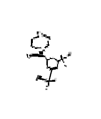 O=C(C1CC(C(F)(F)F)CC(C(F)(F)F)C1)N1CCOCC1